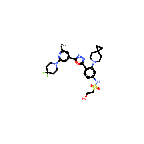 COc1cc(-c2nnc(-c3ccc(NS(=O)(=O)CCO)cc3N3CCC4(CC3)CC4)o2)cc(N2CCC(F)(F)CC2)n1